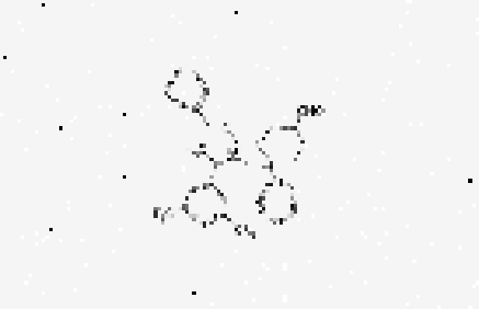 CC(OC[C@@]1(c2ccccc2)CCC(C=O)CN1C(=O)OCc1ccccc1)c1cc(C(F)(F)F)cc(C(F)(F)F)c1